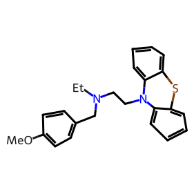 CCN(CCN1c2ccccc2Sc2ccccc21)Cc1ccc(OC)cc1